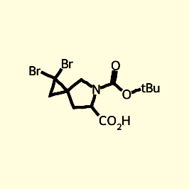 CC(C)(C)OC(=O)N1CC2(CC1C(=O)O)CC2(Br)Br